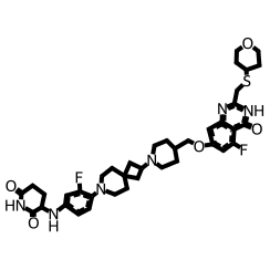 O=C1CCC(Nc2ccc(N3CCC4(CC3)CC(N3CCC(COc5cc(F)c6c(=O)[nH]c(CSC7CCOCC7)nc6c5)CC3)C4)c(F)c2)C(=O)N1